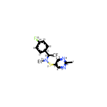 CCN(Sc1cnc(C)nc1)C(c1ccc(F)cc1)C(F)(F)F